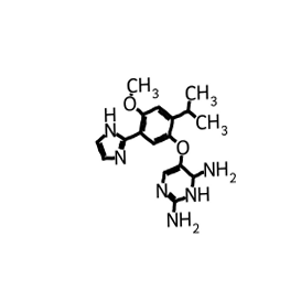 COc1cc(C(C)C)c(OC2=CN=C(N)NC2N)cc1-c1ncc[nH]1